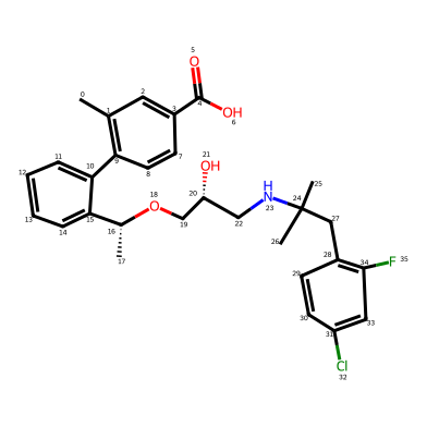 Cc1cc(C(=O)O)ccc1-c1ccccc1[C@@H](C)OC[C@H](O)CNC(C)(C)Cc1ccc(Cl)cc1F